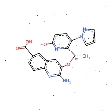 C[C@H](Oc1cc2cc(C(=O)O)ccc2nc1N)c1nc(O)ccc1-n1cccn1